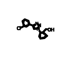 OCc1ccccc1-n1cc(-c2cccc(Cl)c2)nn1